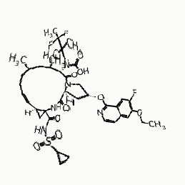 CCOc1cc2ccnc(O[C@@H]3C[C@H]4C(=O)N[C@]5(C(=O)NS(=O)(=O)C6CC6)C[C@H]5C=CCC[C@@H](C)C[C@@H](C)[C@H](N(C(=O)O)C(C)(C)C(C)(F)F)C(=O)N4C3)c2cc1F